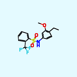 CCc1ccc(NS(=O)(=O)c2ccccc2C(F)(F)F)cc1OC